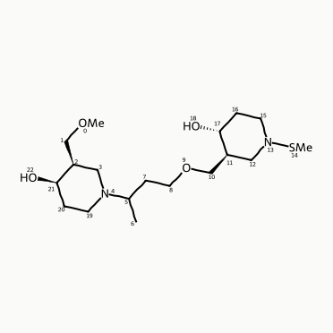 COC[C@H]1CN(C(C)CCOC[C@@H]2CN(SC)CC[C@H]2O)CC[C@H]1O